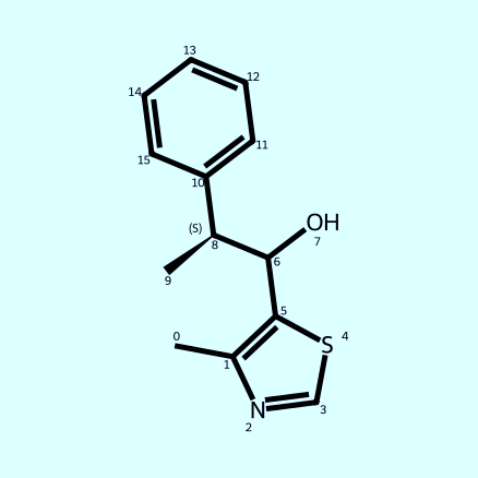 Cc1ncsc1C(O)[C@@H](C)c1ccccc1